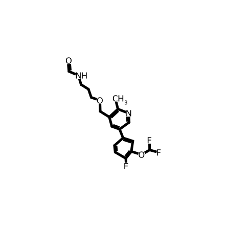 Cc1ncc(-c2ccc(F)c(OC(F)F)c2)cc1COCCCNC=O